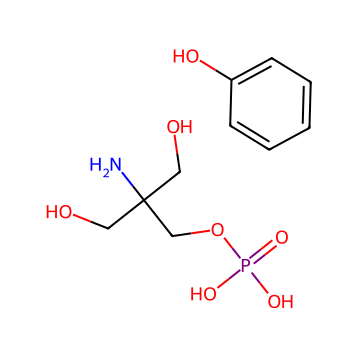 NC(CO)(CO)COP(=O)(O)O.Oc1ccccc1